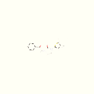 CCOC(=O)c1sc(N2CCN(CC(=O)c3ccccc3)C2=O)cc1CC